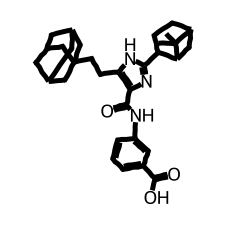 CC1(C)C2CCC(c3nc(C(=O)Nc4cccc(C(=O)O)c4)c(CCC45CC6CC(CC(C6)C4)C5)[nH]3)C1C2